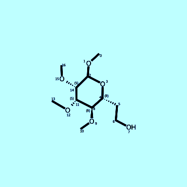 COC1O[C@H](CCO)[C@@H](OC)[C@H](OC)[C@@H]1OC